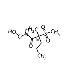 CCC[C@](C)(C(=O)NOO)S(C)(=O)=O